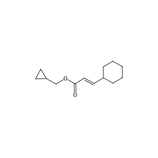 O=C(C=CC1CCCCC1)OCC1CC1